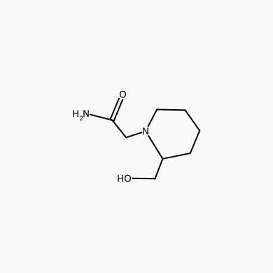 NC(=O)CN1CCCCC1CO